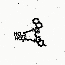 Cc1ccc2c(c1)S/C(=C\c1sc3ccc4ccccc4c3[n+]1CCCS(=O)(=O)O)N2CCCS(=O)(=O)O